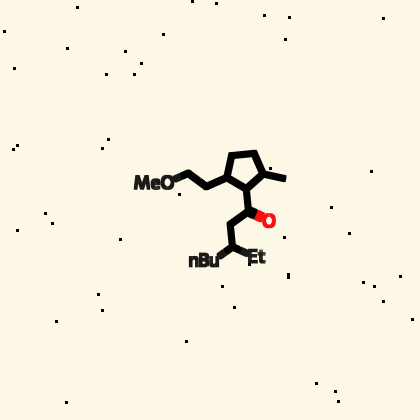 CCCCC(CC)CC(=O)C1C(C)CCC1CCOC